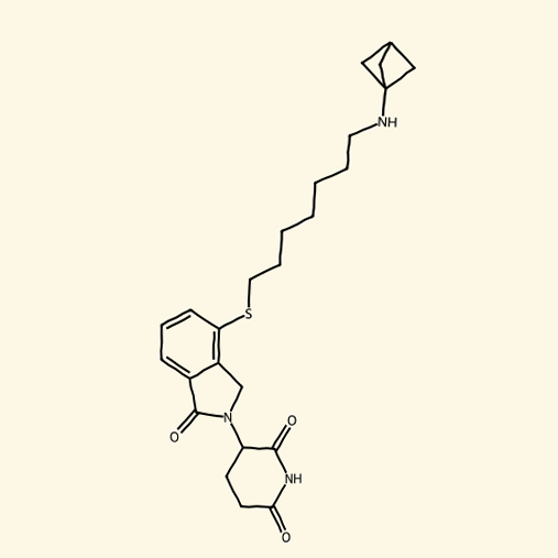 O=C1CCC(N2Cc3c(SCCCCCCCNC45CC(C4)C5)cccc3C2=O)C(=O)N1